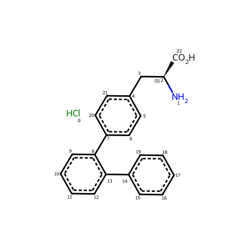 Cl.N[C@@H](Cc1ccc(-c2ccccc2-c2ccccc2)cc1)C(=O)O